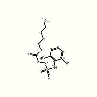 CCCCCCCCCCCCCCOC(=O)CSS(=O)(=O)Nc1c(C(C)C)cccc1C(C)C